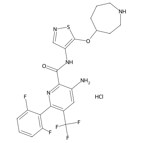 Cl.Nc1cc(C(F)(F)F)c(-c2c(F)cccc2F)nc1C(=O)Nc1cnsc1OC1CCCNCC1